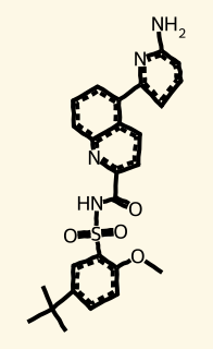 COc1ccc(C(C)(C)C)cc1S(=O)(=O)NC(=O)c1ccc2c(-c3cccc(N)n3)cccc2n1